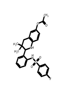 CC(=O)Oc1ccc2c(c1)CC(C)(C)C(c1ccccc1NS(=O)(=O)c1ccc(F)cc1)N2